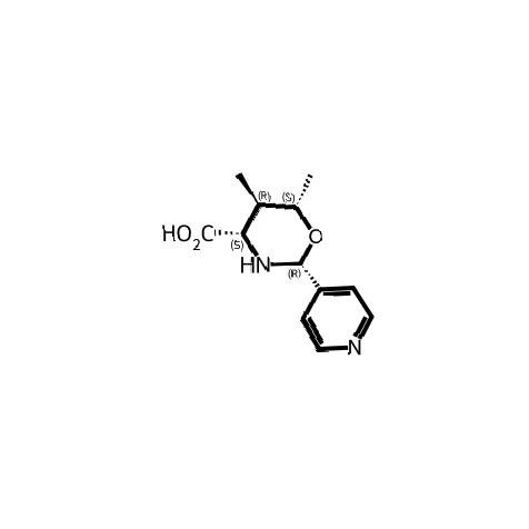 C[C@H]1[C@H](C)O[C@H](c2ccncc2)N[C@@H]1C(=O)O